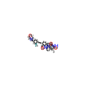 C/C(=N/c1cccc(C#Cc2ccc(CN3CCOCC3)cc2F)c1C=O)N(C)C1CCC(=O)NC1=O